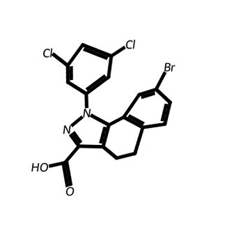 O=C(O)c1nn(-c2cc(Cl)cc(Cl)c2)c2c1CCc1ccc(Br)cc1-2